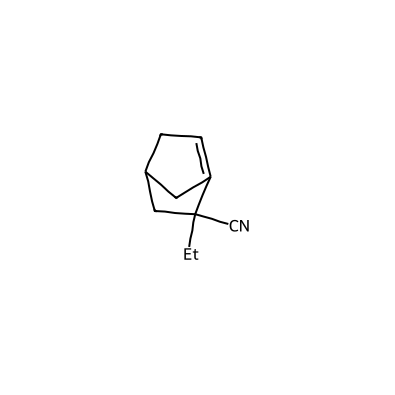 CCC1(C#N)CC2CC=C1C2